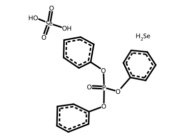 O=P(Oc1ccccc1)(Oc1ccccc1)Oc1ccccc1.O=[Se](=O)(O)O.[SeH2]